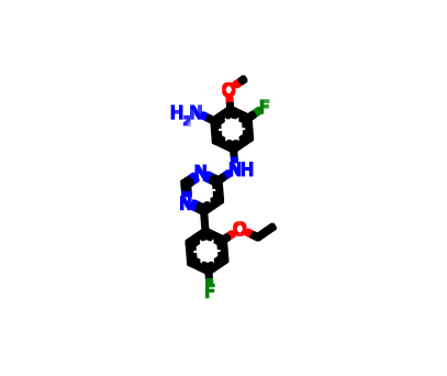 CCOc1cc(F)ccc1-c1cc(Nc2cc(N)c(OC)c(F)c2)ncn1